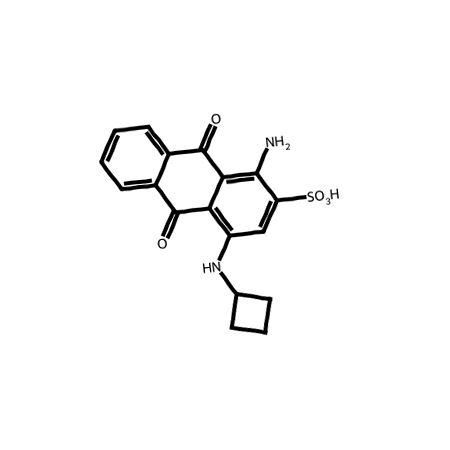 Nc1c(S(=O)(=O)O)cc(NC2CCC2)c2c1C(=O)c1ccccc1C2=O